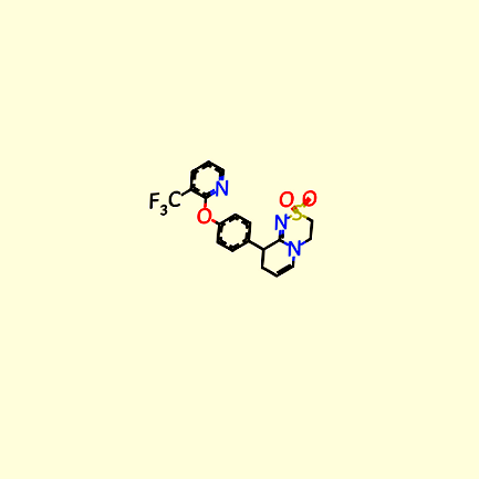 O=S1(=O)CCN2C=CCC(c3ccc(Oc4ncccc4C(F)(F)F)cc3)C2=N1